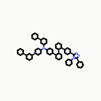 c1ccc(-c2cccc(-c3ccc(N(c4ccc(-c5ccccc5-c5ccccc5-c5ccc(-c6nnc(-c7ccccc7)n6-c6ccccc6)cc5)cc4)c4cccc(-c5ccccc5)c4)cc3)c2)cc1